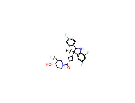 C[C@H]1CN(C(=O)[C@H]2C[C@H](C3(C)c4cc(F)cc(F)c4NC3c3ccc(F)cc3)C2)CC[C@@H]1O